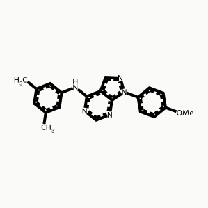 COc1ccc(-n2ncc3c(Nc4cc(C)cc(C)c4)ncnc32)cc1